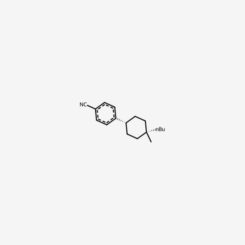 CCCC[C@]1(C)CC[C@H](c2ccc(C#N)cc2)CC1